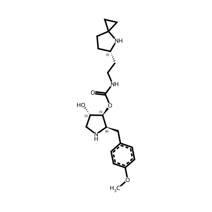 COc1ccc(C[C@H]2NC[C@H](O)[C@H]2OC(=O)NCC[C@@H]2CCC3(CC3)N2)cc1